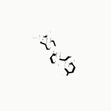 O=C1NCC2CN(c3ccnc(-c4cnc5ccc(Cl)cn45)n3)CCN12